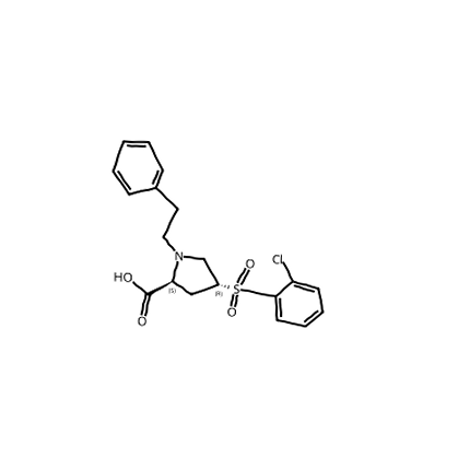 O=C(O)[C@@H]1C[C@@H](S(=O)(=O)c2ccccc2Cl)CN1CCc1ccccc1